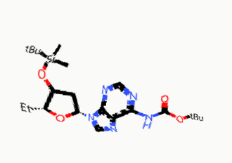 CC[C@H]1O[C@@H](n2cnc3c(NC(=O)OC(C)(C)C)ncnc32)CC1O[Si](C)(C)C(C)(C)C